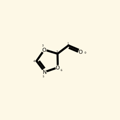 O=CC1OC=NO1